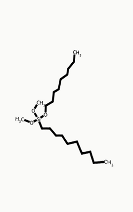 CCCCCCCCCC[Si](OC)(OC)OCCCCCCCCC